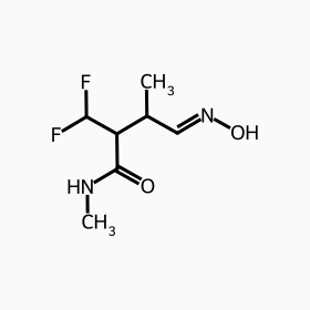 CNC(=O)C(C(F)F)C(C)C=NO